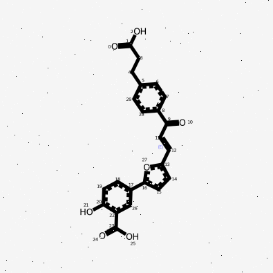 O=C(O)CCc1ccc(C(=O)/C=C/c2ccc(-c3ccc(O)c(C(=O)O)c3)o2)cc1